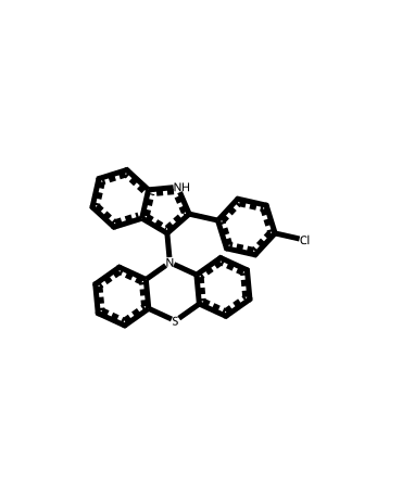 Clc1ccc(-c2[nH]c3ccccc3c2N2c3ccccc3Sc3ccccc32)cc1